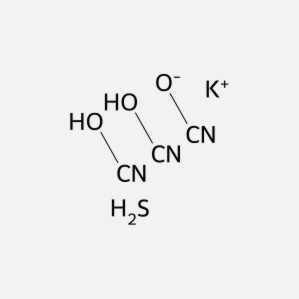 N#CO.N#CO.N#C[O-].S.[K+]